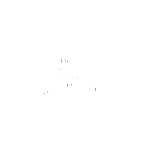 Cc1ccc(NC(=N)N(c2ccc(C)cc2)C(Cc2c[nH]c3ccccc23)C(=O)OCc2ccccc2)cc1